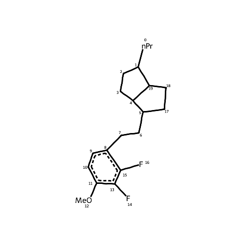 CCCC1CCC2C(CCc3ccc(OC)c(F)c3F)CCC12